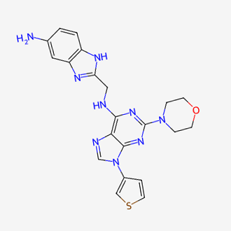 Nc1ccc2[nH]c(CNc3nc(N4CCOCC4)nc4c3ncn4-c3ccsc3)nc2c1